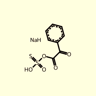 O=C(OS(=O)(O)=S)C(=O)c1ccccc1.[NaH]